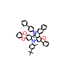 Cc1cc(C(C)(C)C)ccc1N1c2cc3c(cc2B2c4c1cc1c(oc5ccccc51)c4-c1cc4ccccc4cc1N2c1ccc(-c2ccccc2)cc1)Oc1ccccc1O3